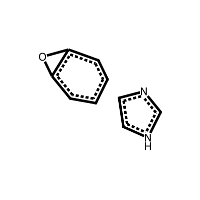 c1c[nH]cn1.c1ccc2c(c1)O2